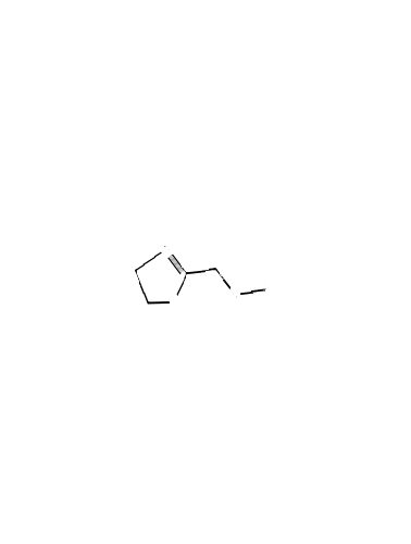 CCNCC1=NCCS1